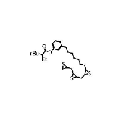 CCCCC(CC)C(=O)Oc1cccc(CCCCCCCC2SC2CC2SC2CC2CS2)c1